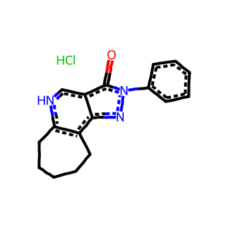 Cl.O=c1c2c[nH]c3c(c-2nn1-c1ccccc1)CCCCC3